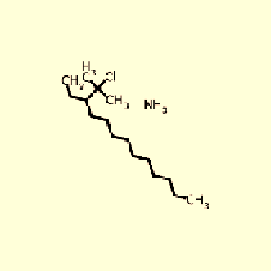 CCCCCCCCCCC(CC)C(C)(C)Cl.N